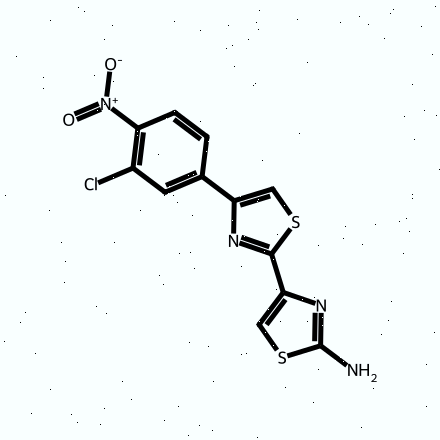 Nc1nc(-c2nc(-c3ccc([N+](=O)[O-])c(Cl)c3)cs2)cs1